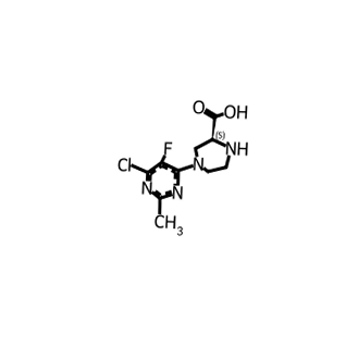 Cc1nc(Cl)c(F)c(N2CCN[C@H](C(=O)O)C2)n1